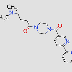 CN(C)CCCC(=O)N1CCN(C(=O)c2ccc(-c3ccccn3)nc2)CC1